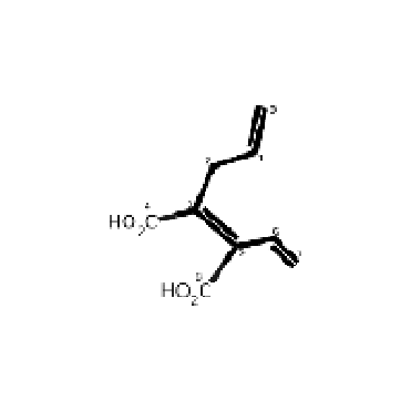 C=CC/C(C(=O)O)=C(\C=C)C(=O)O